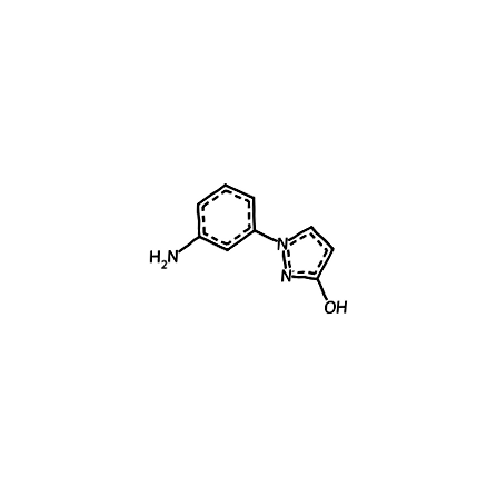 Nc1cccc(-n2ccc(O)n2)c1